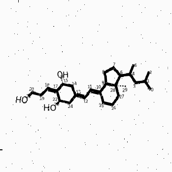 CC(C)CC(C)C1CCC2/C(=C/C=C3C[C@@H](O)C(=CCCO)[C@H](O)C3)CCC[C@@]21C